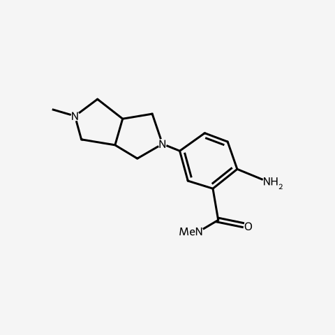 CNC(=O)c1cc(N2CC3CN(C)CC3C2)ccc1N